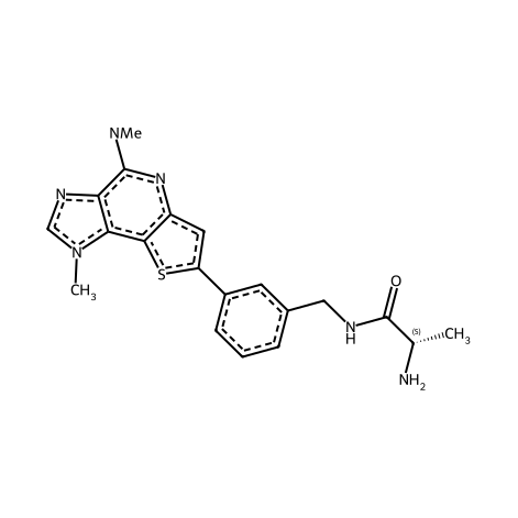 CNc1nc2cc(-c3cccc(CNC(=O)[C@H](C)N)c3)sc2c2c1ncn2C